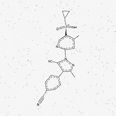 Cc1cc(-n2nc(C)c(-c3ccc(C#N)cc3)c2O)ncc1[S@@](=N)(=O)C1CC1